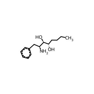 CCCC[C@H](O)[C@H](O)[C@@H](N)Cc1ccccc1